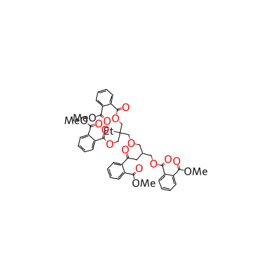 CCC(COCC(COC(=O)c1ccccc1C(=O)OC)CC(=O)c1ccccc1C(=O)OC)(COC(=O)c1ccccc1C(=O)OC)COC(=O)c1ccccc1C(=O)OC